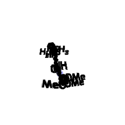 COc1cc(/C=C/C(=O)NCCCCNC(=S)[N+](C)(C)c2ccccn2)cc(OC)c1OC